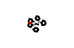 c1ccc(C[C@H](CP(c2ccccc2)c2ccccc2)P(c2ccccc2)c2ccccc2)cc1